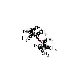 Cc1ccc(S(=O)(=O)N(C=CN(C(=O)OC(C)(C)C)S(=O)(=O)c2ccc(C)cc2)CCN(CCCCCCCCCN(CCN(CCN(C(=O)OC(C)(C)C)S(=O)(=O)c2ccc(C)cc2)S(=O)(=O)c2ccc(C)cc2)S(=O)(=O)c2ccc(C)cc2)S(=O)(=O)c2ccc(C)cc2)cc1